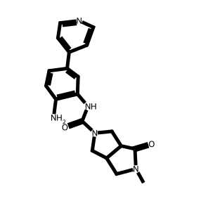 CN1CC2CN(C(=O)Nc3cc(-c4ccncc4)ccc3N)CC2C1=O